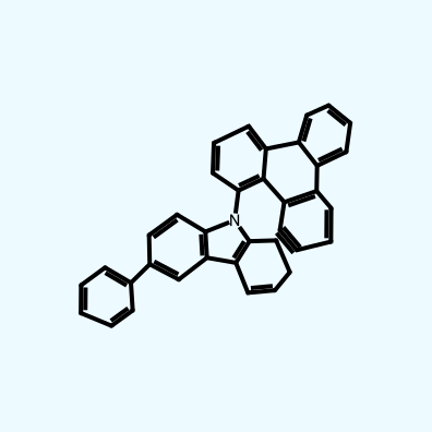 c1ccc2c(c#1)c1c(-n3c4c(c5cc(-c6ccccc6)ccc53)C=CCC4)cccc1c1ccccc21